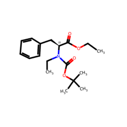 CCOC(=O)[C@H](Cc1ccccc1)N(CC)C(=O)OC(C)(C)C